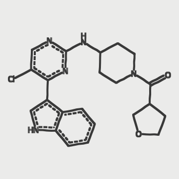 O=C(C1CCOC1)N1CCC(Nc2ncc(Cl)c(-c3c[nH]c4ccccc34)n2)CC1